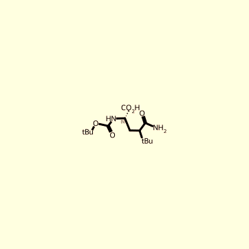 CC(C)(C)OC(=O)N[C@@H](CC(C(N)=O)C(C)(C)C)C(=O)O